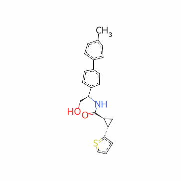 Cc1ccc(-c2ccc([C@H](CO)NC(=O)[C@H]3C[C@@H]3c3cccs3)cc2)cc1